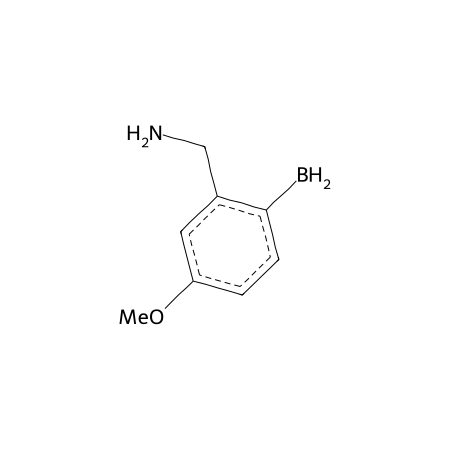 Bc1ccc(OC)cc1CN